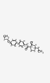 CCCOc1ccc(-c2ccc(CC(=O)C3CCC(CC)CC3=O)cc2)cc1